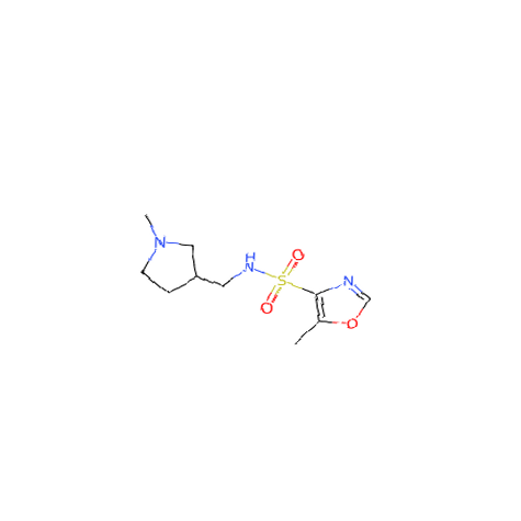 Cc1ocnc1S(=O)(=O)NCC1CCN(C)C1